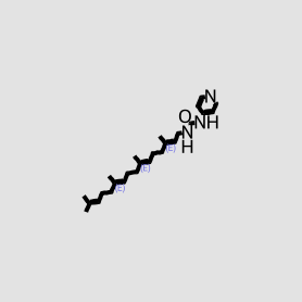 CC(C)=CCC/C(C)=C/CC/C(C)=C/CC/C(C)=C/CNC(=O)Nc1ccncc1